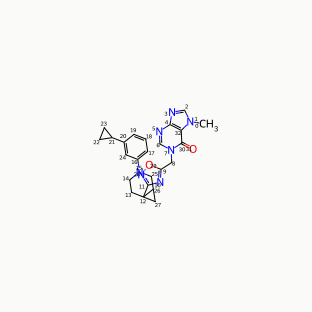 Cn1cnc2ncn(Cc3nc(C45CCN(c6cccc(C7CC7)c6)CC4C5)no3)c(=O)c21